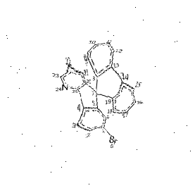 Brc1ccc2c(c1)C1(c3ccccc3-c3ccccc31)c1cccnc1-2